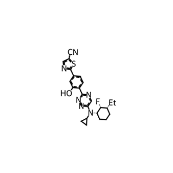 CC[C@@H]1CCC[C@H](N(c2cnc(-c3ccc(-c4ncc(C#N)s4)cc3O)nn2)C2CC2)[C@@H]1F